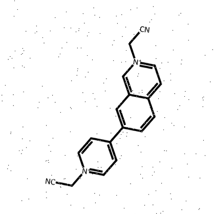 N#CC[n+]1ccc(-c2ccc3cc[n+](CC#N)cc3c2)cc1